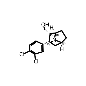 CN1[C@H]2CC[C@@H]1[C@@H](CO)[C@@H](c1ccc(Cl)c(Cl)c1)C2